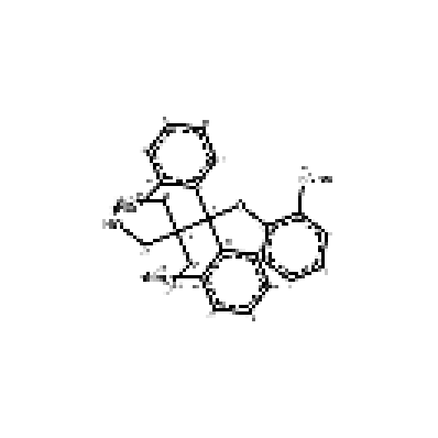 CCCCCCCCCc1ccccc1OC(c1ccccc1CCCCCCCCC)(c1ccccc1CCCCCCCCC)C(CO)(CO)CO